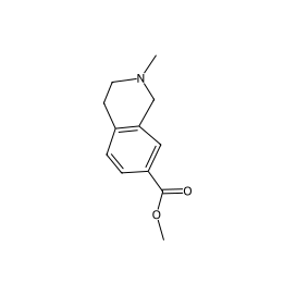 COC(=O)c1ccc2c(c1)CN(C)CC2